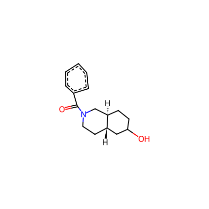 O=C(c1ccccc1)N1CC[C@H]2CC(O)CC[C@@H]2C1